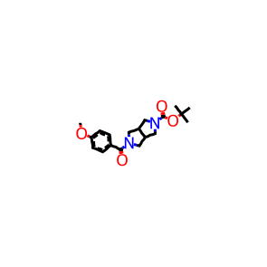 COc1ccc(C(=O)N2CC3CN(C(=O)OC(C)(C)C)CC3C2)cc1